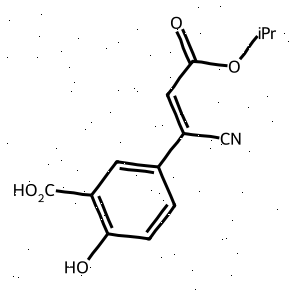 CC(C)OC(=O)C=C(C#N)c1ccc(O)c(C(=O)O)c1